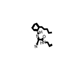 C=CCNC(=O)C(C#N)=NNc1ccccc1CCCCC